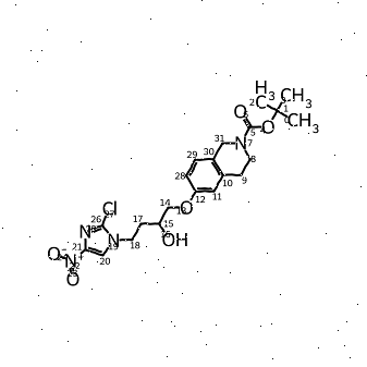 CC(C)(C)OC(=O)N1CCc2cc(OCC(O)CCn3cc([N+](=O)[O-])nc3Cl)ccc2C1